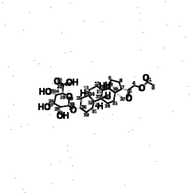 CC(=O)OCC(=O)[C@H]1CC[C@H]2[C@@H]3CC[C@@H]4C[C@@H](OC5O[C@H](C(=O)O)[C@@H](O)[C@@H](O)[C@H]5O)CC[C@@H]4[C@H]3CC[C@]12C